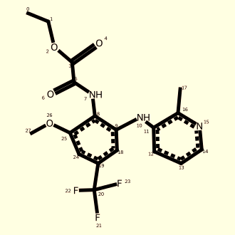 CCOC(=O)C(=O)Nc1c(Nc2cccnc2C)cc(C(F)(F)F)cc1OC